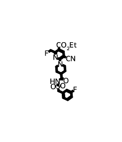 CCOC(=O)c1cc(C#N)c(N2CCC(C(=O)NS(=O)(=O)Cc3cccc(F)c3)CC2)nc1CF